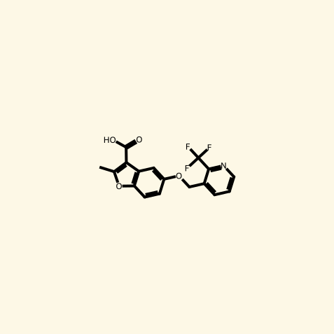 Cc1oc2ccc(OCc3cccnc3C(F)(F)F)cc2c1C(=O)O